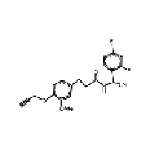 C#CCOc1ccc(CCC(=O)NC(C#N)c2ccc(F)cc2F)cc1OC